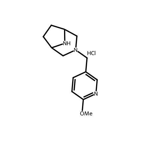 COc1ccc(CN2CC3CCC(C2)N3)cn1.Cl